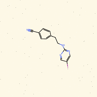 N#Cc1ccc(CCNc2ncc(I)cn2)cc1